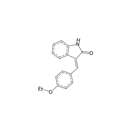 CCOc1ccc(/C=C2/C(=O)Nc3ccccc32)cc1